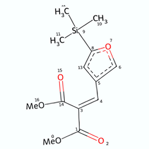 COC(=O)C(=Cc1coc([Si](C)(C)C)c1)C(=O)OC